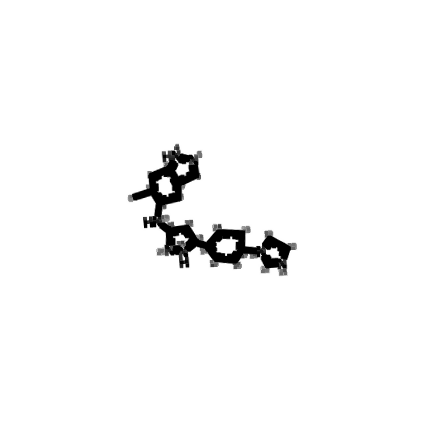 Cc1cc2[nH]ncc2cc1Nc1cc(-c2ccc(-n3ccnc3)cc2)[nH]n1